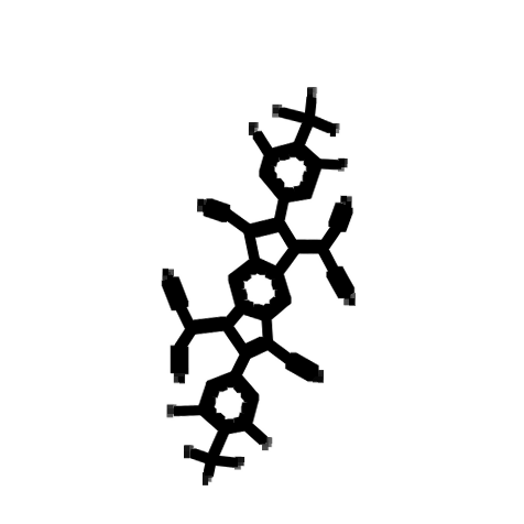 N#CC(C#N)=C1C(c2cc(F)c(C(F)(F)F)c(F)c2)=C(C#N)c2cc3c(cc21)C(C#N)=C(c1cc(F)c(C(F)(F)F)c(F)c1)C3=C(C#N)C#N